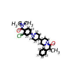 CC(C(=O)N1CCC(C2CCN(c3ccc(C(=O)N(C)C)c(Cl)c3)CC2)CC1)c1ccccc1